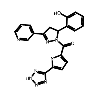 O=C(c1ccc(-c2nn[nH]n2)s1)N1N=C(c2cccnc2)CC1c1ccccc1O